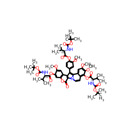 COc1cc(-c2c3c4cc(OC)c(OC(=O)[C@@H](NC(=O)OC(C)(C)C)C(C)C)cc4oc(=O)c3n3ccc4c(OC(=O)[C@@H](NC(=O)OC(C)(C)C)C(C)C)c(OC)c(OC)cc4c23)ccc1OC(=O)[C@@H](NC(=O)OC(C)(C)C)C(C)C